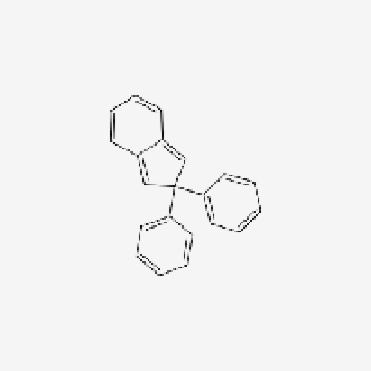 C1=c2ccccc2=CC1(c1ccccc1)c1ccccc1